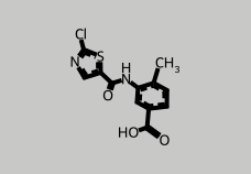 Cc1ccc(C(=O)O)cc1NC(=O)c1cnc(Cl)s1